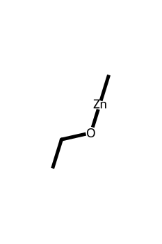 CC[O][Zn][CH3]